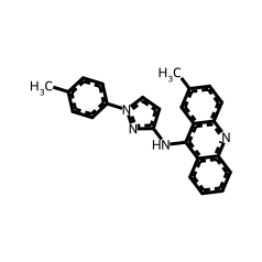 Cc1ccc(-n2ccc(Nc3c4ccccc4nc4ccc(C)cc34)n2)cc1